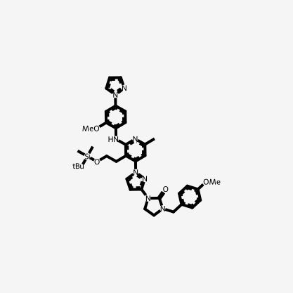 COc1ccc(CN2CCN(c3ccn(-c4cc(C)nc(Nc5ccc(-n6cccn6)cc5OC)c4CCO[Si](C)(C)C(C)(C)C)n3)C2=O)cc1